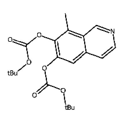 Cc1c(OC(=O)OC(C)(C)C)c(OC(=O)OC(C)(C)C)cc2ccncc12